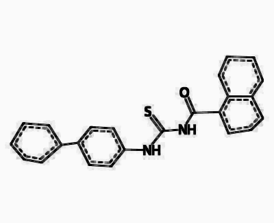 O=C(NC(=S)Nc1ccc(-c2ccccc2)cc1)c1cccc2ccccc12